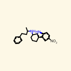 CC(CCc1ccccc1)NC1CCCc2c1[nH]c1ccc([N+](=O)[O-])cc21